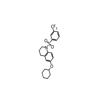 O=S(=O)(c1cccc(C(F)(F)F)c1)N1CCCc2cc(OC3CCCCC3)ccc21